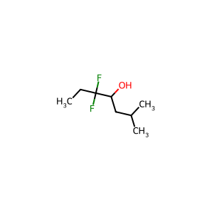 CCC(F)(F)C(O)CC(C)C